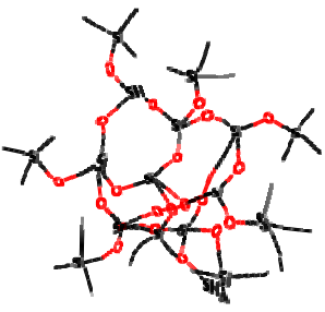 C[Si](C)(C)O[SiH]1O[Si]2(O[Si](C)(C)C)O[Si]3(O[Si](C)(C)C)O[Si](O[SiH3])(O[Si](C)(C)C)O[Si]4(O[Si](C)(C)C)O[Si](O[Si](C)(C)C)(O1)O[Si](O[Si](C)(C)C)(O2)O[Si](O[Si](C)(C)C)(O3)O4